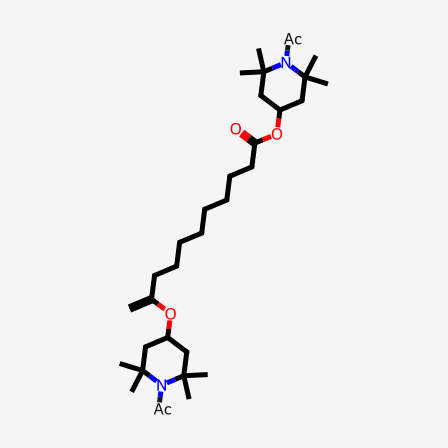 C=C(CCCCCCCCC(=O)OC1CC(C)(C)N(C(C)=O)C(C)(C)C1)OC1CC(C)(C)N(C(C)=O)C(C)(C)C1